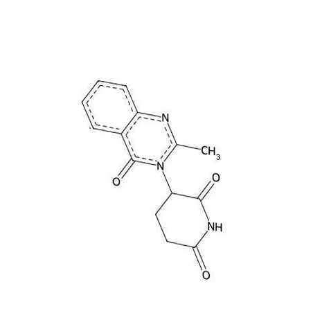 Cc1nc2ccc[c]c2c(=O)n1C1CCC(=O)NC1=O